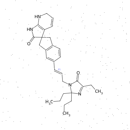 CCCC1(CCC)N=C(CC)C(=O)N1C/C=C/c1ccc2c(c1)CC1(C2)C(=O)NC2=C1C=CCN2